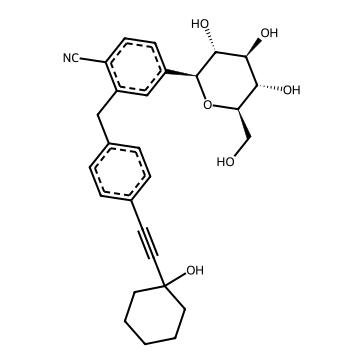 N#Cc1ccc([C@@H]2O[C@H](CO)[C@@H](O)[C@H](O)[C@H]2O)cc1Cc1ccc(C#CC2(O)CCCCC2)cc1